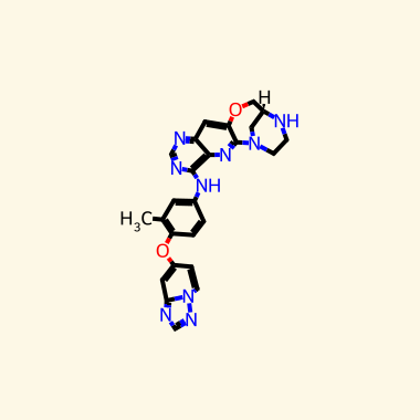 Cc1cc(Nc2ncnc3cc4c(nc23)N2CCN[C@H](CO4)C2)ccc1Oc1ccn2ncnc2c1